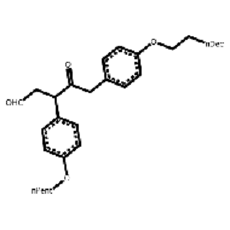 CCCCCCCCCCCCOc1ccc(CC(=O)C(CC=O)c2ccc(OCCCCC)cc2)cc1